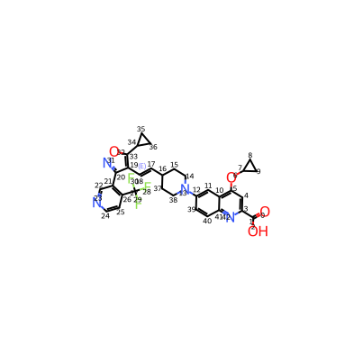 O=C(O)c1cc(OC2CC2)c2cc(N3CCC(/C=C/c4c(-c5cnccc5C(F)(F)F)noc4C4CC4)CC3)ccc2n1